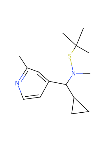 Cc1cc(C(C2CC2)N(C)SC(C)(C)C)ccn1